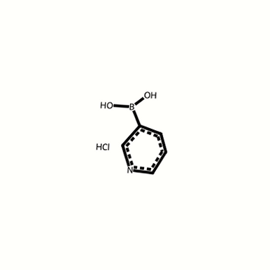 Cl.OB(O)c1cccnc1